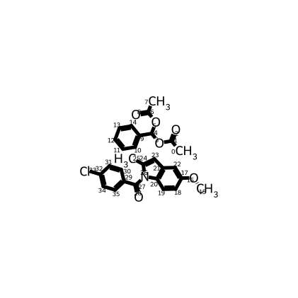 CC(=O)OC(OC(C)=O)c1ccccc1.COc1ccc2c(c1)cc(C)n2C(=O)c1ccc(Cl)cc1